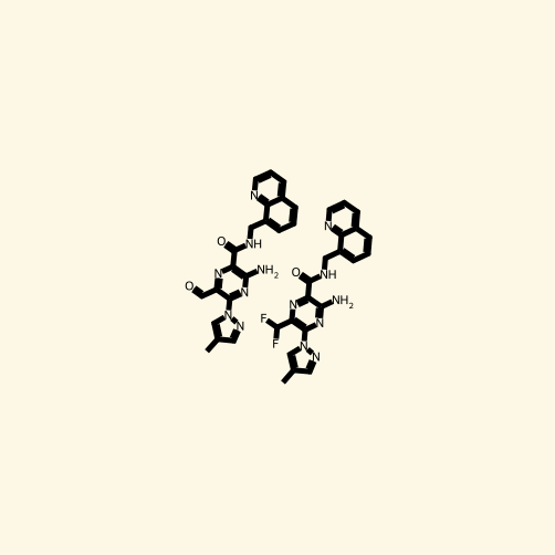 Cc1cnn(-c2nc(N)c(C(=O)NCc3cccc4cccnc34)nc2C(F)F)c1.Cc1cnn(-c2nc(N)c(C(=O)NCc3cccc4cccnc34)nc2C=O)c1